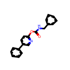 O=C(NCc1ccccc1)Oc1ccc(-c2ccccc2)cn1